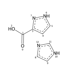 O=C(O)c1cc[nH]n1.c1c[nH]cn1